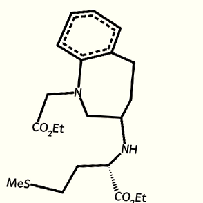 CCOC(=O)CN1CC(N[C@@H](CCSC)C(=O)OCC)CCc2ccccc21